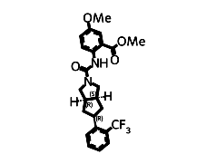 COC(=O)c1cc(OC)ccc1NC(=O)N1C[C@H]2C[C@@H](c3ccccc3C(F)(F)F)C[C@H]2C1